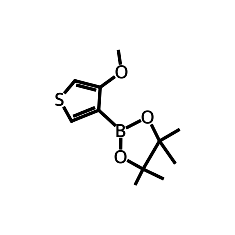 COc1cscc1B1OC(C)(C)C(C)(C)O1